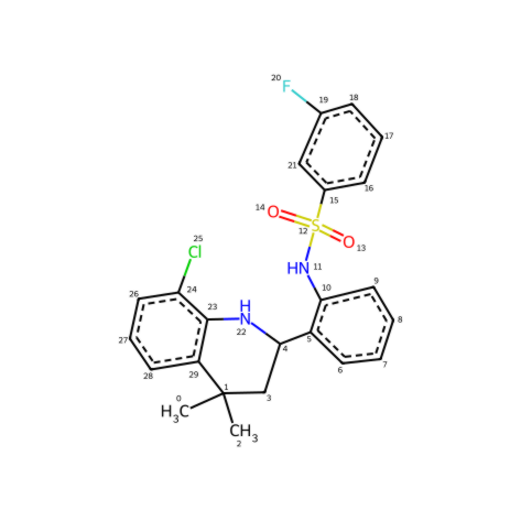 CC1(C)CC(c2ccccc2NS(=O)(=O)c2cccc(F)c2)Nc2c(Cl)cccc21